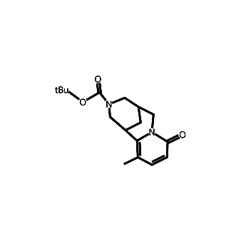 Cc1ccc(=O)n2c1C1CC(CN(C(=O)OC(C)(C)C)C1)C2